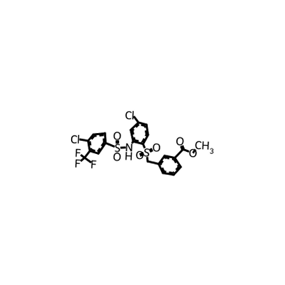 COC(=O)c1cccc(CS(=O)(=O)c2ccc(Cl)cc2NS(=O)(=O)c2ccc(Cl)c(C(F)(F)F)c2)c1